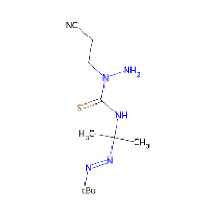 CC(C)(C)/N=N/C(C)(C)NC(=S)N(N)CCC#N